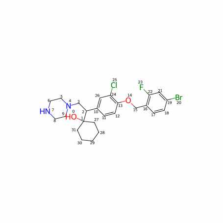 OC1(C(CN2CCNCC2)c2ccc(OCc3ccc(Br)cc3F)c(Cl)c2)CCCCC1